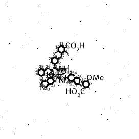 COc1ccc(C(=O)O)cc1.Cc1ccc(C(=O)O)c(C)c1Cc1cccc(C(C(=O)Cc2ccccc2)C(N)C(CN)(Nc2ccc3cnccc3c2)C(=O)Nc2ccc3cnccc3c2)c1